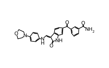 NC(=O)c1cccc(C(=O)c2ccc3c(c2)NC(=O)C3=CNc2ccc(N3CCOCC3)cc2)c1